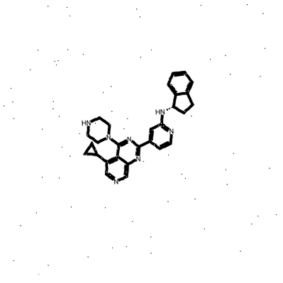 c1ccc2c(c1)CC[C@@H]2Nc1cc(-c2nc(N3CCNCC3)c3c(C4CC4)cncc3n2)ccn1